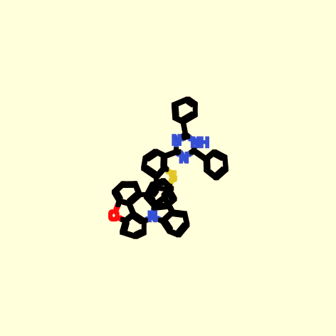 c1ccc(C2=NC(c3cccc4c3sc3cccc(-c5cccc6oc7cccc(-n8c9ccccc9c9ccccc98)c7c56)c34)=NC(c3ccccc3)N2)cc1